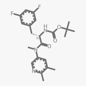 Cc1cc(N(C)C(=O)[C@H](Cc2cc(F)cc(F)c2)NC(=O)OC(C)(C)C)cnc1C